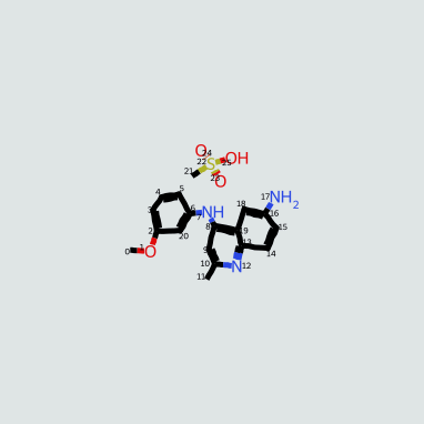 COc1cccc(Nc2cc(C)nc3ccc(N)cc23)c1.CS(=O)(=O)O